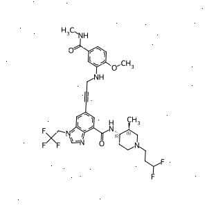 CNC(=O)c1ccc(OC)c(NCC#Cc2cc(C(=O)N[C@H]3CCN(CCC(F)F)C[C@@H]3C)c3ncn(CC(F)(F)F)c3c2)c1